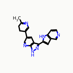 CC1=NC=C(c2cnc3[nH]nc(-c4cc5cnccc5[nH]4)c3c2)CC1